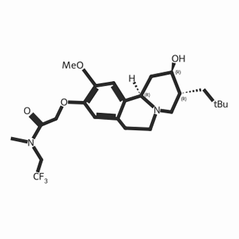 COc1cc2c(cc1OCC(=O)N(C)CC(F)(F)F)CCN1C[C@@H](CC(C)(C)C)[C@H](O)C[C@H]21